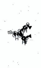 CC(NC(=O)OC(C)(C)C)c1oc(-c2ccc(OC(F)F)c(OCC3CC3)c2)nc1C(=O)NCC1CCN(C(=O)C2CC2)CC1